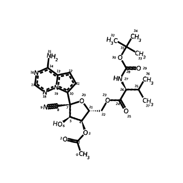 CC(=O)O[C@H]1[C@@H](O)[C@](C#N)(c2ccc3c(N)ncnn23)O[C@@H]1COC(=O)[C@@H](NC(=O)OC(C)(C)C)C(C)C